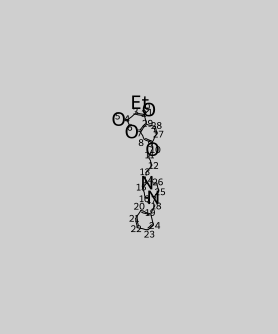 CCOc1cc(=O)oc2cc(OCCCN3CCN(Cc4ccccc4)CC3)ccc12